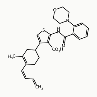 C=C/C=C\C1=C(C)CC(c2csc(NC(=O)c3ccccc3N3CCOCC3)c2C(=O)O)CC1